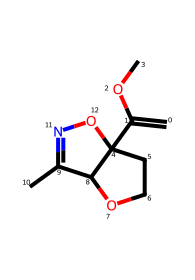 C=C(OC)C12CCOC1C(C)=NO2